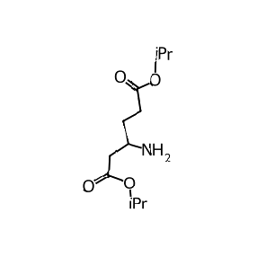 CC(C)OC(=O)CCC(N)CC(=O)OC(C)C